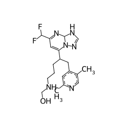 Cc1cc(CC(CCCNCO)C2=CC(C(F)F)=NC3NC=NN23)c(C)cn1